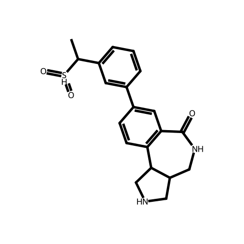 CC(c1cccc(-c2ccc3c(c2)C(=O)NCC2CNCC32)c1)[SH](=O)=O